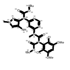 COc1cc(OC)c(Cl)c(N(C(=O)OC(C)(C)C)C(=O)N(C)c2cc(N(C(=O)OC(C)(C)C)c3nn(C)cc3N)ncn2)c1Cl